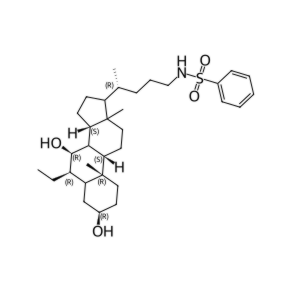 CC[C@@H]1C2C[C@H](O)CC[C@@]2(C)[C@H]2CCC3(C)C([C@H](C)CCCNS(=O)(=O)c4ccccc4)CC[C@H]3C2[C@@H]1O